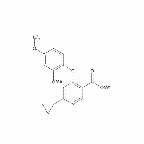 COC(=O)c1cnc(C2CC2)cc1Oc1ccc(OC(F)(F)F)cc1OC